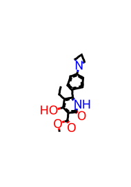 CCc1c(-c2ccc(N3CCC3)cc2)[nH]c(=O)c(C(=O)OC)c1O